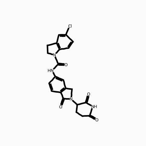 O=C1CCC(N2Cc3cc(NC(=O)N4CCc5cc(Cl)ccc54)ccc3C2=O)C(=O)N1